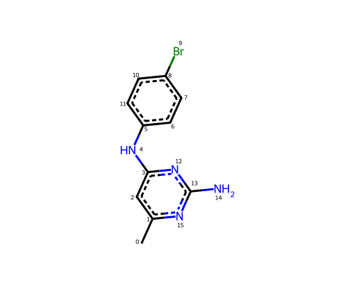 Cc1cc(Nc2ccc(Br)cc2)nc(N)n1